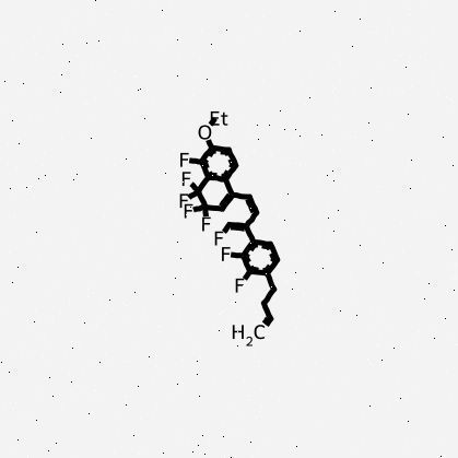 C=CCCc1ccc(C(/C=C\C2=CC(F)(F)C(F)(F)c3c2ccc(OCC)c3F)=C\F)c(F)c1F